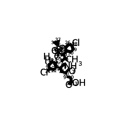 CC(C(C)[C@@H]1NC(=O)[C@H](CCC(=O)O)C[C@@H]1c1cccc(Cl)c1)C(c1ccc(Cl)cc1)N(C)S(=O)(=O)C1CC1